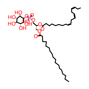 CC/C=C\C/C=C\C/C=C\CCCCCCCC(=O)O[C@H](COC(=O)CCCCCCCCCCCCCCCCC)COP(=O)(O)OC1[C@H](O)[C@H](O)C(O)[C@H](O)[C@H]1O